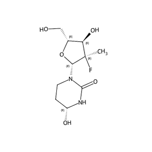 C[C@@]1(F)[C@H](O)[C@@H](CO)O[C@H]1N1CC[C@@H](O)NC1=O